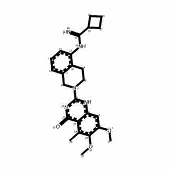 COc1cc2[nH]c(N3CCc4c(cccc4NC(=N)C4CCC4)C3)nc(=O)c2c(C)c1OC